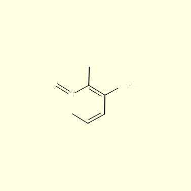 C=N/C(C)=C(\C=C/C)OC